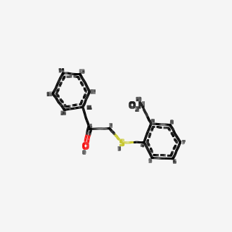 O=C(CSc1ccccc1[N+](=O)[O-])c1ccccc1